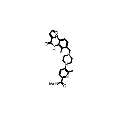 CNC(=O)c1ccc(N2CCN(Cc3ccc4c([nH]c(=O)c5ccnn54)c3F)CC2)c(C)n1